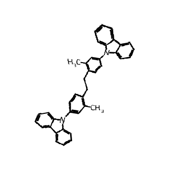 Cc1cc(-n2c3ccccc3c3ccccc32)ccc1CCc1ccc(-n2c3ccccc3c3ccccc32)cc1C